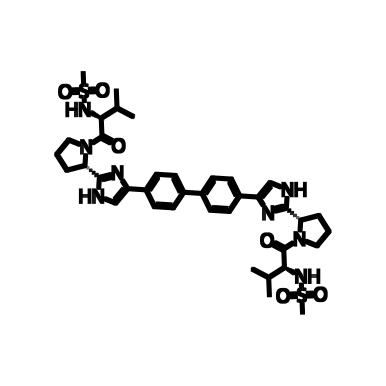 CC(C)[C@H](NS(C)(=O)=O)C(=O)N1CCC[C@H]1c1nc(-c2ccc(-c3ccc(-c4c[nH]c([C@@H]5CCCN5C(=O)[C@@H](NS(C)(=O)=O)C(C)C)n4)cc3)cc2)c[nH]1